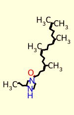 CCCC1CN(C(=O)CCC=C(C)CCC=C(C)CCC=C(C)CCC=C(C)C)CCN1